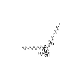 CCCCCCCCCCCC(=O)OCC(COP(N)(=O)O)OC(=O)CCCCCCCCCCC